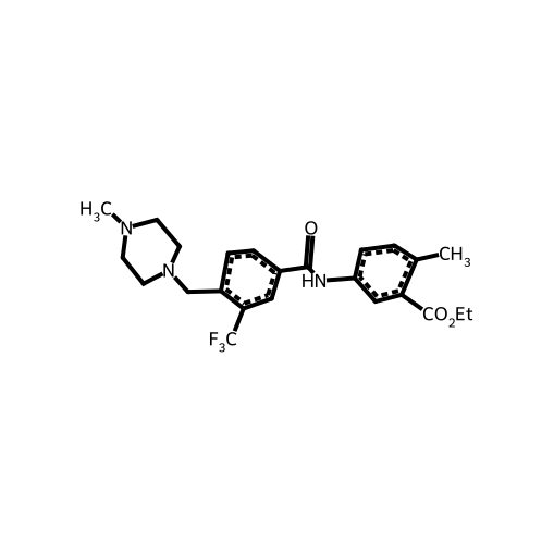 CCOC(=O)c1cc(NC(=O)c2ccc(CN3CCN(C)CC3)c(C(F)(F)F)c2)ccc1C